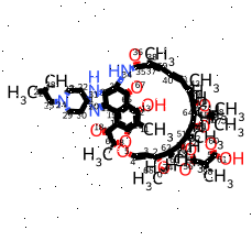 CO[C@H]1/C=C/O[C@@]2(C)Oc3c(C)c(O)c4c(c3C2=O)C2=NC3(CCN(CC(C)C)CC3)NC2=C(NC(=O)/C(C)=C\C=C\[C@H](C)[C@@H]2OC(C)(C)O[C@@H]([C@@H](C)[C@H](OC(=O)C(C)C(=O)O)[C@@H]1C)[C@@H]2C)C4=O